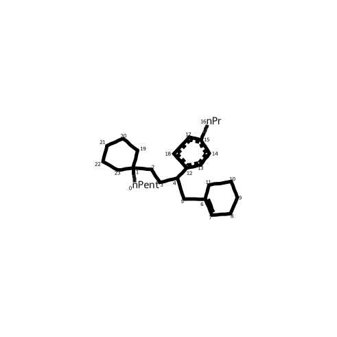 CCCCCC1(CCC(CC2=CCCCC2)c2ccc(CCC)cc2)CCCCC1